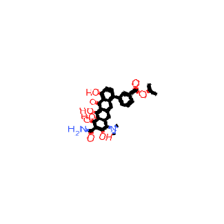 CC(C)OC(=O)c1cccc(-c2ccc(O)c3c2CC2CC4C(N(C)C)C(O)=C(C(N)=O)C(=O)C4(O)C(O)=C2C3=O)c1